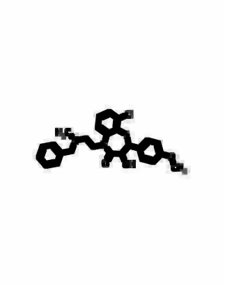 COc1ccc(C2Sc3c(Cl)cccc3N(CCN(C)Cc3ccccc3)C(=O)C2O)cc1